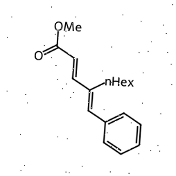 CCCCCCC(/C=C/C(=O)OC)=C\c1ccccc1